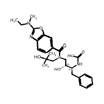 CCN(C)c1nc2ccc(C(=O)N(C[C@@H](O)[C@H](Cc3ccccc3)NC(=O)O)CC(C)(C)O)cc2o1